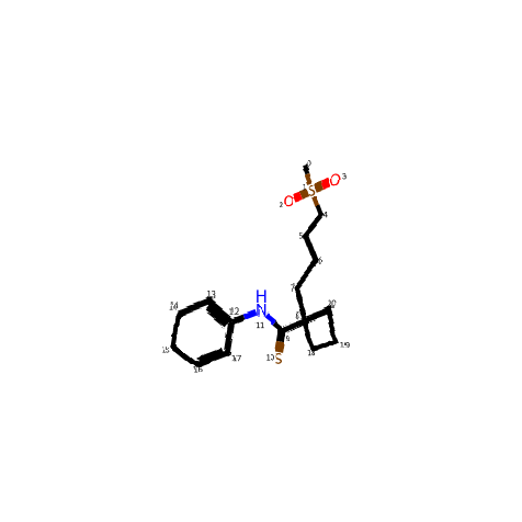 CS(=O)(=O)CCCCC1(C(=S)NC2=CC[CH]C=C2)CCC1